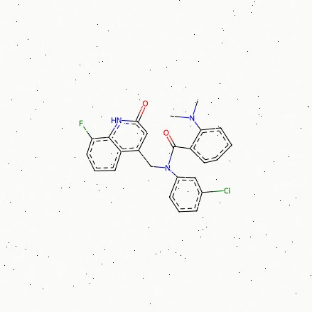 CN(C)c1ccccc1C(=O)N(Cc1cc(=O)[nH]c2c(F)cccc12)c1cccc(Cl)c1